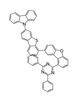 c1ccc(-c2nc(-c3ccccc3)nc(-c3cccc4oc5ccc(-c6cccc7c6sc6cc(-n8c9ccccc9c9ccccc98)ccc67)cc5c34)n2)cc1